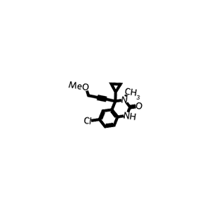 COCC#CC1(C2CC2)c2cc(Cl)ccc2NC(=O)N1C